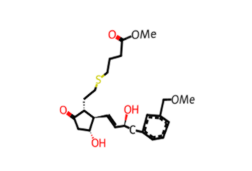 COCc1cccc(C[C@H](O)/C=C/[C@H]2[C@H](O)CC(=O)[C@@H]2CCSCCCC(=O)OC)c1